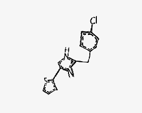 Clc1ccc(Cc2nc(-c3cccs3)c[nH]2)cc1